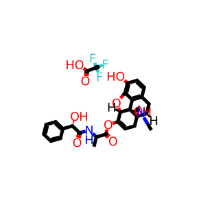 CC(NC(=O)[C@@H](O)c1ccccc1)C(=O)OC1=CC[C@@]2(O)[C@H]3Cc4ccc(O)c5c4[C@@]2(CCN3C)[C@H]1O5.O=C(O)C(F)(F)F